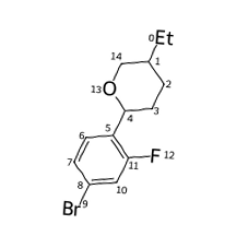 CCC1CCC(c2ccc(Br)cc2F)OC1